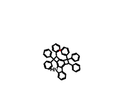 c1ccc(C2c3c(c4c(c5[nH]c6ccccc6c35)C(c3ccccc3)(c3ccccc3)C4c3ccccc3)C2(c2ccccc2)c2ccccc2)cc1